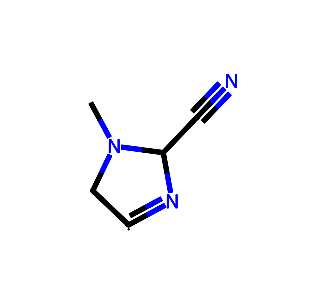 CN1C[C]=NC1C#N